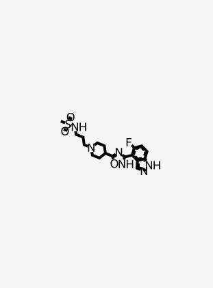 CS(=O)(=O)NCCCN1CCC(C2=NC(c3c(F)ccc4[nH]ncc34)NO2)CC1